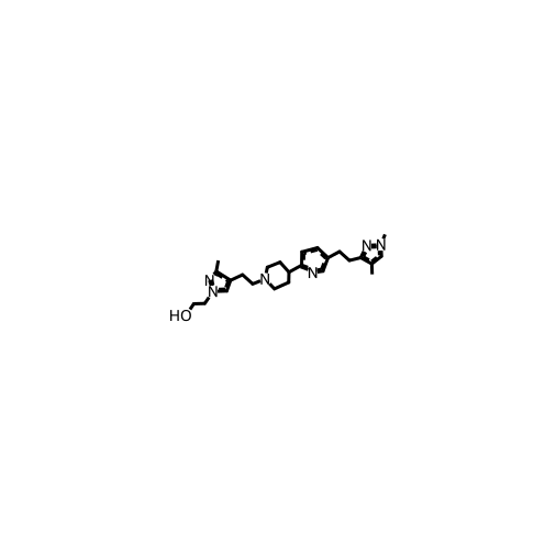 Cc1cn(C)nc1CCc1ccc(C2CCN(CCc3cn(CCO)nc3C)CC2)nc1